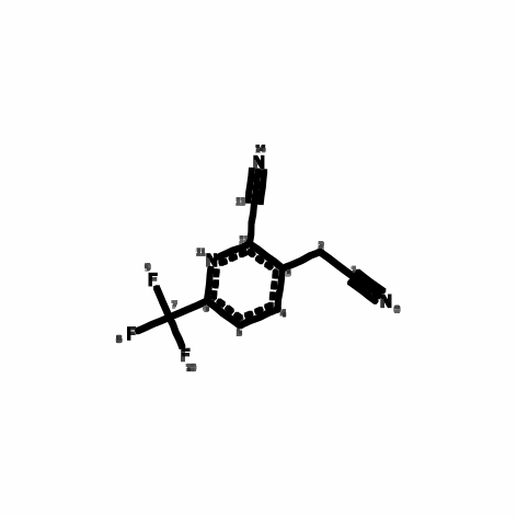 N#CCc1ccc(C(F)(F)F)nc1C#N